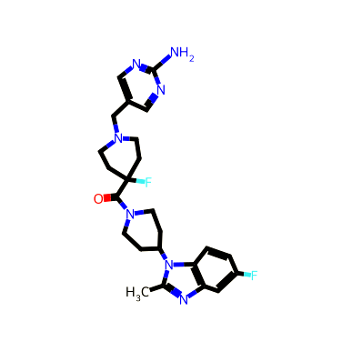 Cc1nc2cc(F)ccc2n1C1CCN(C(=O)C2(F)CCN(Cc3cnc(N)nc3)CC2)CC1